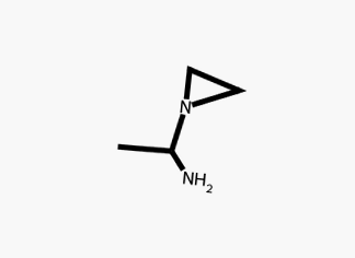 CC(N)N1CC1